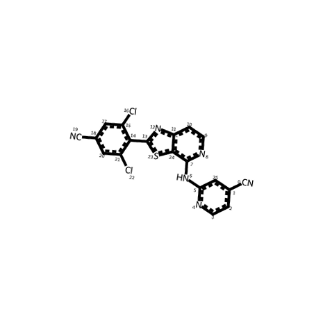 N#Cc1ccnc(Nc2nccc3nc(-c4c(Cl)cc(C#N)cc4Cl)sc23)c1